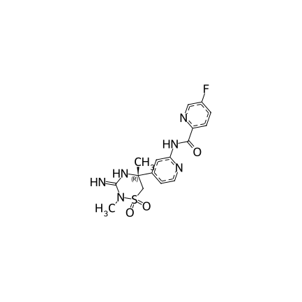 CN1C(=N)N[C@](C)(c2ccnc(NC(=O)c3ccc(F)cn3)c2)CS1(=O)=O